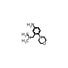 CN(C)Cc1cc(N)ccc1N1CCOCC1